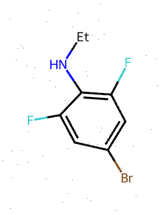 CCNc1c(F)cc(Br)cc1F